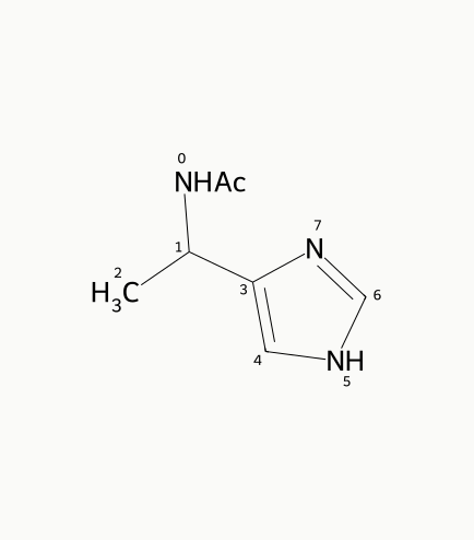 CC(=O)NC(C)c1c[nH]cn1